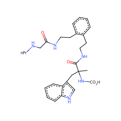 CCCNCC(=O)NCCc1ccccc1CCNC(=O)C(C)(Cc1c[nH]c2ccccc12)NC(=O)O